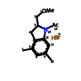 Br.COCC1Cc2c(C)cc(C)cc2N1C(C)=O